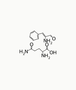 NC(=O)CCC(N)C(=O)O.NC(C=O)=Cc1ccccc1